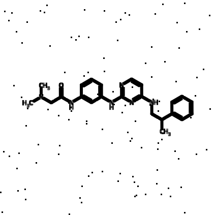 CC(CNc1ccnc(Nc2cccc(NC(=O)CN(C)C)c2)n1)c1ccccc1